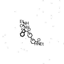 CCNC(=O)Nc1sc2ccccc2c1C(=O)N1CCC(N2CCCC(C(=O)NCC)C2)CC1